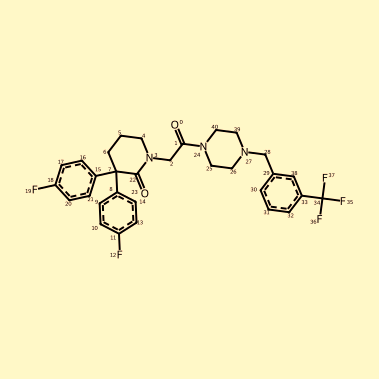 O=C(CN1CCCC(c2ccc(F)cc2)(c2ccc(F)cc2)C1=O)N1CCN(Cc2cccc(C(F)(F)F)c2)CC1